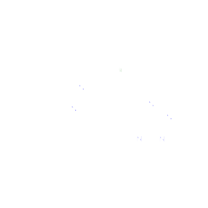 CCn1nnc(-c2cnn(-c3ccccc3F)c2Br)n1